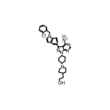 Nc1ncnc2c1c(-c1ccc3c(ccn3Cc3ccccc3Cl)c1)nn2[C@H]1CC[C@@H](N2CCC(CCO)CC2)CC1